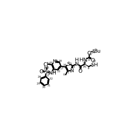 Cc1nc(NC(=O)[C@H](CS)NC(=O)OC(C)(C)C)sc1-c1cnc(Cl)c(N[SH](C)(=O)c2ccccc2)c1